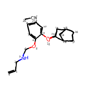 C=CCNCOc1ccccc1OC1CC2CCC1C2.CC#N